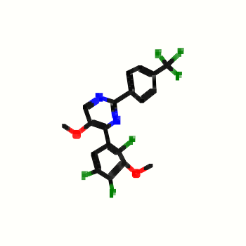 COc1cnc(-c2ccc(C(F)(F)F)cc2)nc1-c1cc(F)c(F)c(OC)c1F